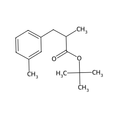 Cc1cccc(CC(C)C(=O)OC(C)(C)C)c1